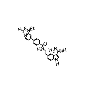 CCN(C)c1cc(-c2ccc(C(=O)NCCc3ccc4[nH]cc(C(=N)N)c4c3)cc2)ccn1